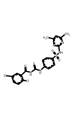 Cc1cc(C)nc(NS(=O)(=O)c2ccc(NC(=S)NC(=O)c3cc(Cl)ccc3Cl)cc2)n1